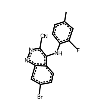 Cc1ccc(Nc2c(C#N)nnc3cc(Br)ccc23)c(F)c1